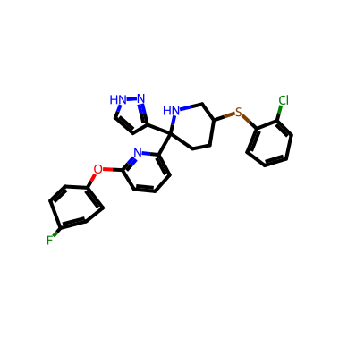 Fc1ccc(Oc2cccc(C3(c4cc[nH]n4)CCC(Sc4ccccc4Cl)CN3)n2)cc1